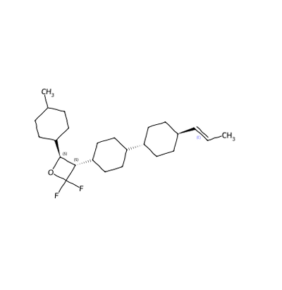 C/C=C/[C@H]1CC[C@H](C2CCC([C@H]3[C@H](C4CCC(C)CC4)OC3(F)F)CC2)CC1